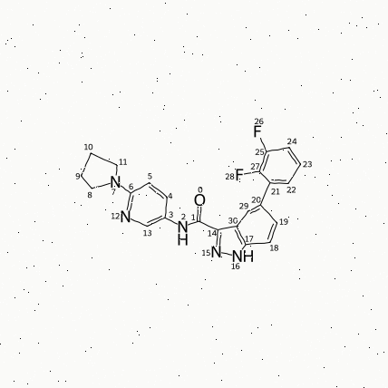 O=C(Nc1ccc(N2CCCC2)nc1)c1n[nH]c2ccc(-c3cccc(F)c3F)cc12